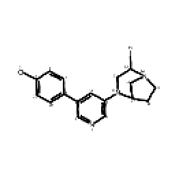 Clc1ccc(-c2cncc(N3CC(I)N4CCC3C4)c2)cc1